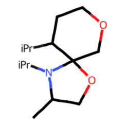 CC(C)C1CCOCC12OCC(C)N2C(C)C